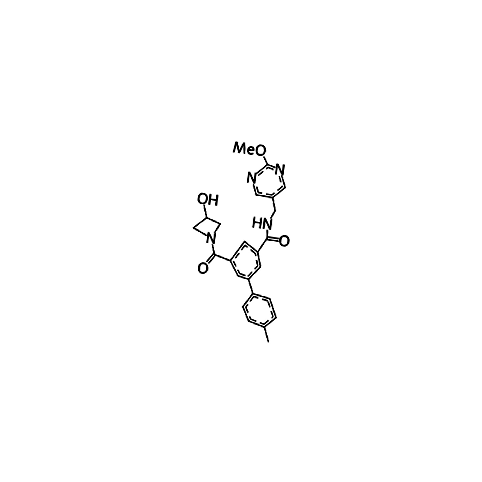 COc1ncc(CNC(=O)c2cc(C(=O)N3CC(O)C3)cc(-c3ccc(C)cc3)c2)cn1